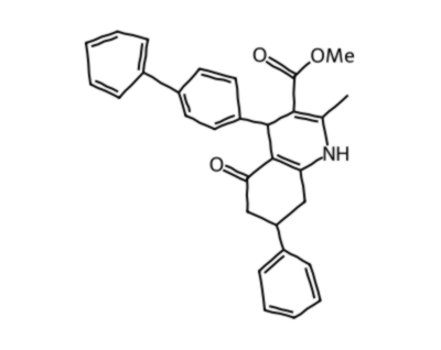 COC(=O)C1=C(C)NC2=C(C(=O)CC(c3ccccc3)C2)C1c1ccc(-c2ccccc2)cc1